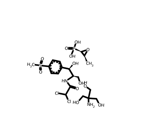 CS(=O)(=O)c1ccc([C@@H](O)[C@@H](CO)NC(=O)C(Cl)Cl)cc1.C[C@@H]1O[C@@H]1P(=O)(O)O.NC(CO)(CO)CO